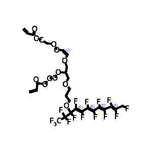 C=CC(=O)OCCOO/C=C\OCC(COCCCOC(F)(/C(F)=C(F)/C(F)=C(F)/C(F)=C(F)/C(F)=C(\F)CF)C(F)(F)C(F)(F)F)OOOOC(=O)C=C